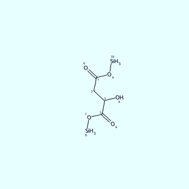 O=C(CC(O)C(=O)O[SiH3])O[SiH3]